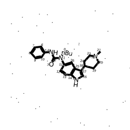 CCCCN(C(=O)Nc1ccccc1)c1ccc2[nH]cc(C3CCN(C)CC3)c2c1